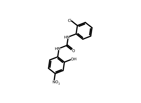 O=C(Nc1ccc([N+](=O)[O-])cc1O)Nc1ccccc1Cl